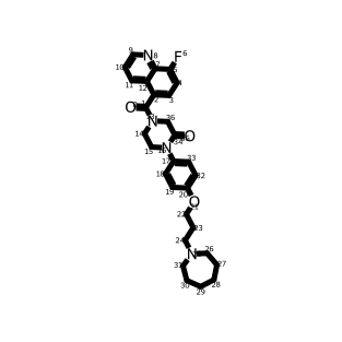 O=C(c1ccc(F)c2ncccc12)N1CCN(c2ccc(OCCCN3CCCCCC3)cc2)C(=O)C1